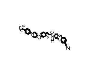 N#Cc1ccc(CN2CCC(NC(=O)c3cc4ccc(OC5CCN(c6ccc(C(F)(F)F)cc6)CC5)cc4s3)CC2I)cc1